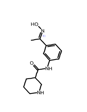 C/C(=N\O)c1cccc(NC(=O)C2CCCNC2)c1